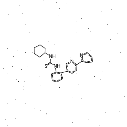 S=C(Nc1ccccc1-c1ccc(-c2ccccn2)nc1)NC1CCCCC1